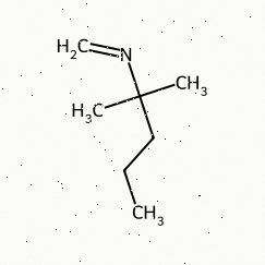 C=NC(C)(C)CCC